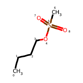 CCC[CH]OS(C)(=O)=O